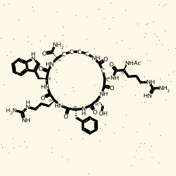 CC(=O)N[C@@H](CCCNC(=N)N)C(=O)N[C@H]1CC(=O)NCCCC[C@@H](C(N)=O)NC(=O)[C@H](Cc2c[nH]c3ccccc23)NC(=O)[C@H](CCCNC(=N)N)NC(=O)[C@@H](Cc2ccccc2)NC(=O)[C@@H](CO)NC1=O